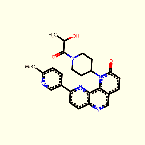 COc1ccc(-c2ccc3ncc4ccc(=O)n(C5CCN(C(=O)C(C)O)CC5)c4c3n2)cn1